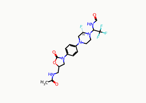 CC(=O)NCC1CN(c2ccc(N3CCN(C(NC=O)C(F)(F)F)[C@@H](F)C3)cc2)C(=O)O1